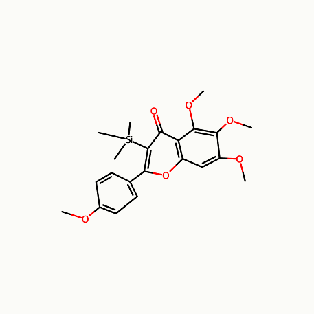 COc1ccc(-c2oc3cc(OC)c(OC)c(OC)c3c(=O)c2[Si](C)(C)C)cc1